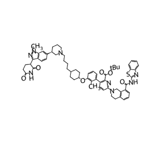 Cc1c(OC2CCC(CCCCN3CCC[C@H](c4ccc5c(C6CCC(=O)NC6=O)nn(C)c5c4)C3)CC2)cccc1-c1ccc(N2CCc3cccc(C(=O)Nc4nc5ccccc5s4)c3C2)nc1C(=O)OC(C)(C)C